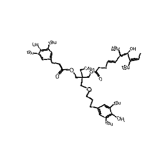 C\C=C(/C(O)=C(\C=C\CCC(=O)OCC(COC)(COCCCc1cc(C(C)(C)C)c(O)c(C(C)(C)C)c1)COC(=O)CCc1cc(C(C)(C)C)c(N=O)c(C(C)(C)C)c1)C(C)(C)C)C(C)(C)C